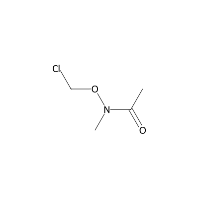 CC(=O)N(C)OCCl